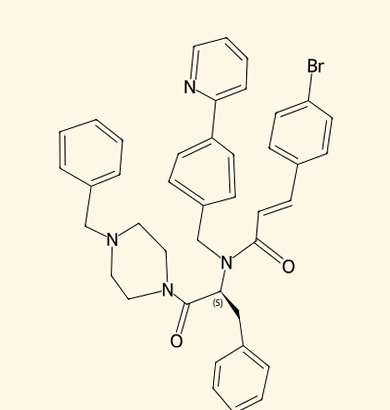 O=C([C@H](Cc1ccccc1)N(Cc1ccc(-c2ccccn2)cc1)C(=O)C=Cc1ccc(Br)cc1)N1CCN(Cc2ccccc2)CC1